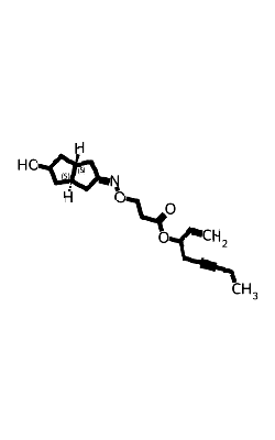 C=CC(CC#CCC)OC(=O)CCON=C1C[C@H]2CC(O)C[C@@H]2C1